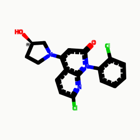 O=c1cc(N2CC[C@@H](O)C2)c2ccc(Cl)nc2n1-c1ccccc1Cl